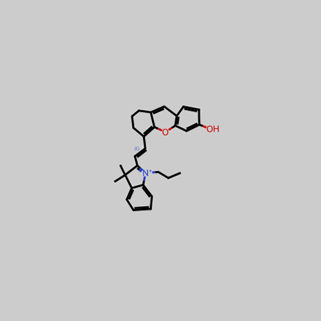 CCC[N+]1=C(/C=C/C2=C3Oc4cc(O)ccc4C=C3CCC2)C(C)(C)c2ccccc21